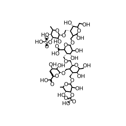 CC1O[C@@H](OC[C@H]2C(CO[C@@H]3OC(C(=O)O)[C@@H](COC[C@H]4OC(CO)[C@@H](O)[C@@H](CO[C@@H]5OC(C)[C@@H](O)[C@H](OS(=O)(=O)O)C5O)C4CO[C@@H]4OC(C(=O)O)=C[C@@H](O)C4O)[C@@H](O)C3O)C(O)OC(CO)[C@H]2O)C(O)[C@@H](OS(=O)(=O)O)[C@@H]1O